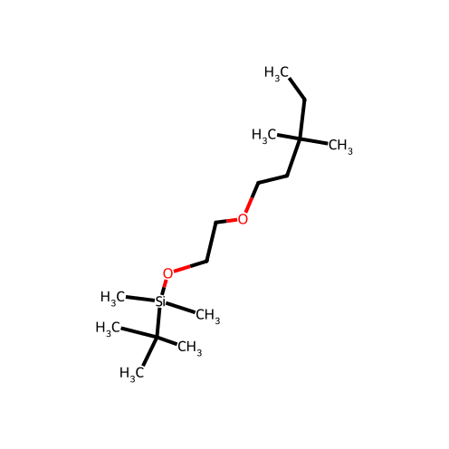 CCC(C)(C)CCOCCO[Si](C)(C)C(C)(C)C